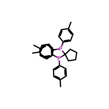 Cc1ccc(P(c2ccc(C)cc2)C2(P(c3ccc(C)cc3)c3ccc(C)cc3)CCCC2)cc1